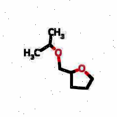 CC(C)OCC1CCCO1